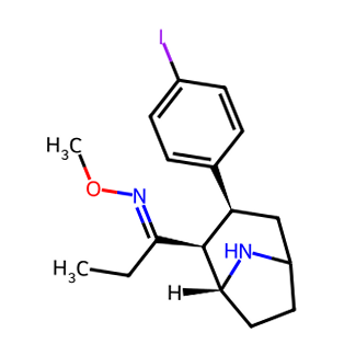 CCC(=NOC)[C@H]1[C@@H](c2ccc(I)cc2)CC2CC[C@H]1N2